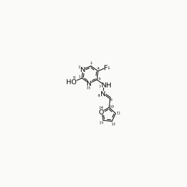 Oc1ncc(F)c(N/N=C/c2ccco2)n1